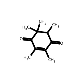 CC1=C(C)C(=O)C(C)(N)C(C)C1=O